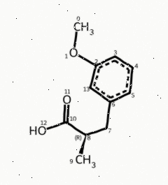 COc1cccc(C[C@@H](C)C(=O)O)c1